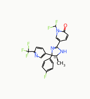 C[C@@H]1NC(c2ccc(=O)n(C(F)F)c2)=NC1(c1ccc(F)cc1)c1ccc(C(F)(F)F)nc1